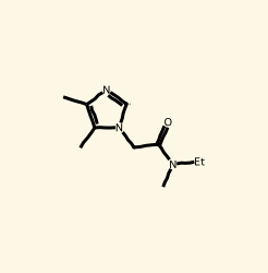 CCN(C)C(=O)Cn1[c]nc(C)c1C